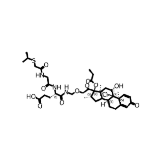 CCC(=O)O[C@]1(C(=O)COCNC(=O)[C@H](CCC(=O)O)NC(=O)CNC(=O)CSC(C)C)[C@@H](C)CC2[C@@H]3CCC4=CC(=O)C=C[C@]4(C)[C@@]3(Cl)[C@@H](O)C[C@@]21C